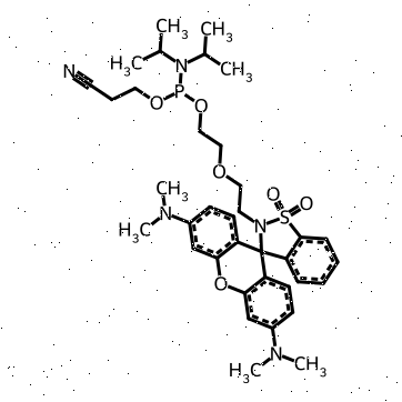 CC(C)N(C(C)C)P(OCCC#N)OCCOCCN1C2(c3ccc(N(C)C)cc3Oc3cc(N(C)C)ccc32)c2ccccc2S1(=O)=O